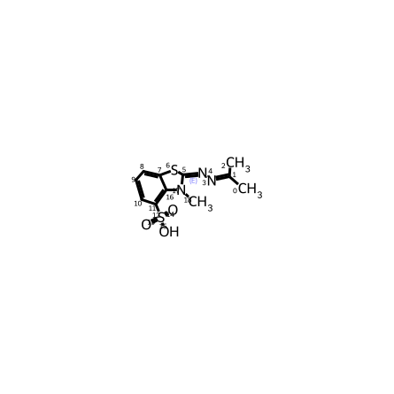 CC(C)=N/N=c1/sc2cccc(S(=O)(=O)O)c2n1C